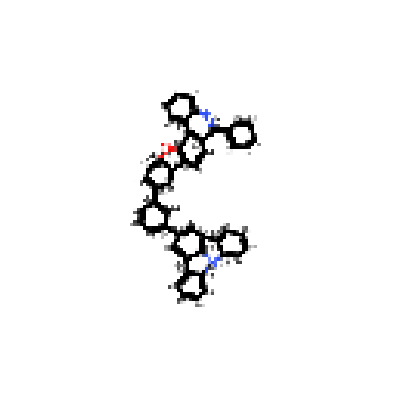 c1ccc(-c2nc3ccccc3c3c2ccc2c4cc(-c5cccc(-c6cc7c8ccccc8n8c9ccccc9c(c6)c78)c5)ccc4oc23)cc1